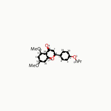 CCCOc1ccc(-c2cc(=O)c3c(OC)cc(OC)cc3o2)cc1